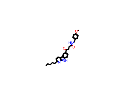 CCCCCc1ccc2c(n1)[nH]c1ccc(C(=O)CCC(=O)NCc3ccc(OC)cc3)cc12